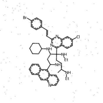 CCNC(C)CCC(NCC)(c1nc(C=Cc2ccc(Br)cc2)nc2cc(Cl)ccc12)C(CC(N)c1c2ccccc2cc2ncccc12)NC1CCCCC1